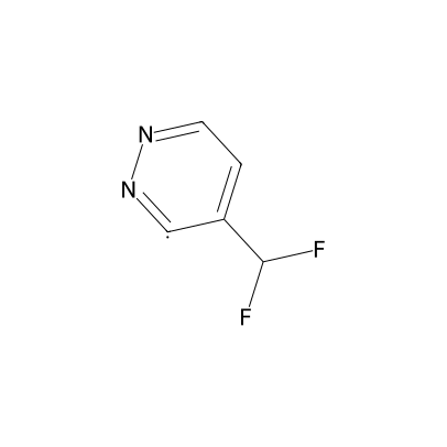 FC(F)c1[c]nncc1